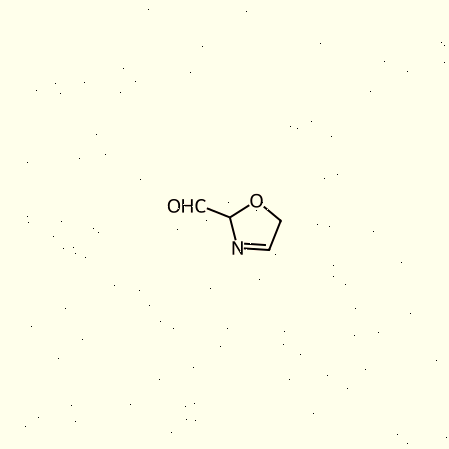 O=CC1N=CCO1